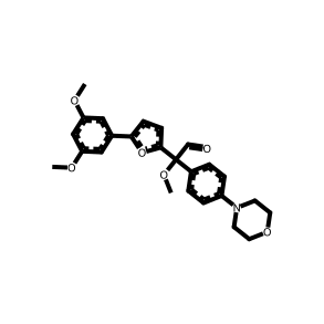 COc1cc(OC)cc(-c2ccc(C(C=O)(OC)c3ccc(N4CCOCC4)cc3)o2)c1